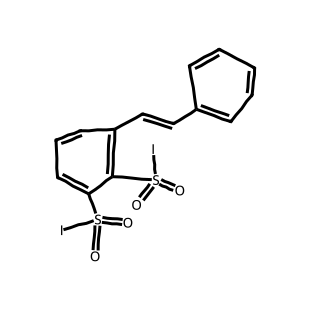 O=S(=O)(I)c1cccc(C=Cc2ccccc2)c1S(=O)(=O)I